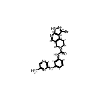 Cc1cncc(Oc2cccc(NC(=O)N3CCc4c(cnc5[nH]nc(Br)c45)C3)c2)n1